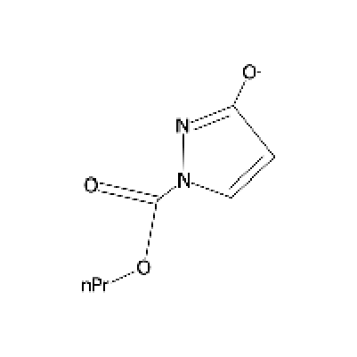 CCCOC(=O)n1ccc([O])n1